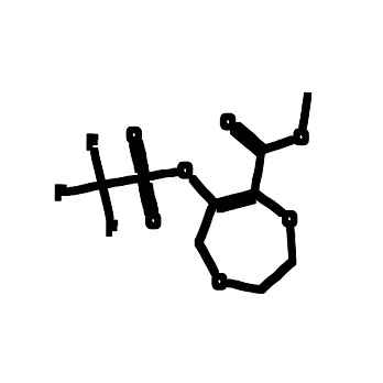 COC(=O)C1=C(OS(=O)(=O)C(F)(F)F)COCCO1